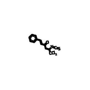 O=C(/C=C/c1ccccc1)CC(N=C=S)C(Cl)(Cl)Cl